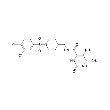 C=C1NC(=O)NC(C(=O)NCC2CCN(S(=O)(=O)c3ccc(Cl)c(Cl)c3)CC2)=C1N